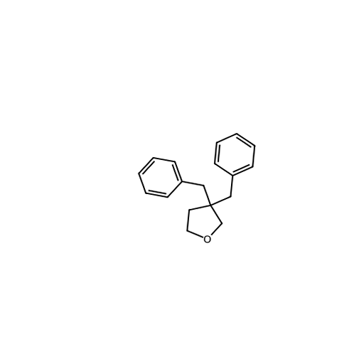 c1ccc(CC2(Cc3ccccc3)CCOC2)cc1